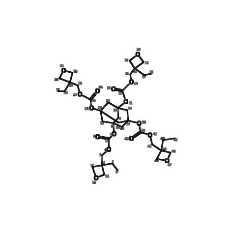 CCC1(COC(=O)OC23CC4(OC(=O)OCC5(CC)COC5)CC(OC(=O)OCC5(CC)COC5)(C2)CC(OC(=O)OCC2(CC)COC2)(C3)C4)COC1